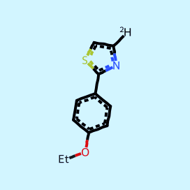 [2H]c1csc(-c2ccc(OCC)cc2)n1